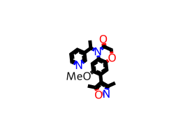 COc1cc2c(cc1-c1c(C)noc1C)OCC(=O)N2C(C)c1cccnc1